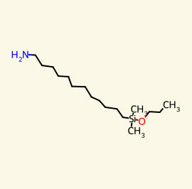 CCCO[Si](C)(C)CCCCCCCCCCCCN